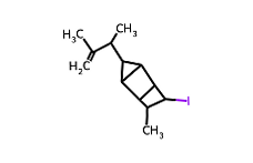 C=C(C)C(C)C1C2C3C(C)C(I)C3C12